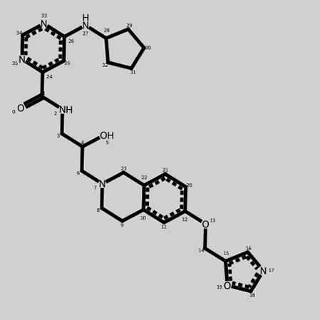 O=C(NCC(O)CN1CCc2cc(OCc3cnco3)ccc2C1)c1cc(NC2CCCC2)ncn1